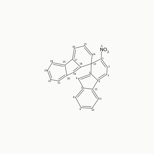 O=[N+]([O-])C1=CC=C2C(=Cc3ccccc32)C12C=CC=C1C2=Cc2ccccc21